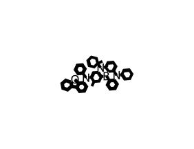 CC1CC2=C(C=C1N(c1ccccc1)c1cccc3c1oc1ccccc13)N(C1(C)CC=CCC1)C1(C)C=CC=C3C1B2c1ccccc1N3C1=CCCC=C1